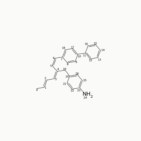 C/C=C/C=C(\C=C/c1ccc(-c2ccccc2)cc1)Cc1ccc(N)cc1